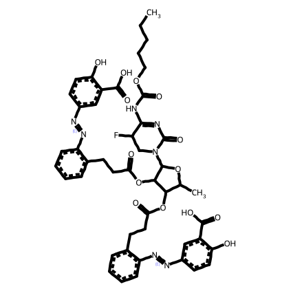 CCCCCOC(=O)NC1=NC(=O)N(C2OC(C)C(OC(=O)CCc3ccccc3/N=N/c3ccc(O)c(C(=O)O)c3)C2OC(=O)CCc2ccccc2/N=N/c2ccc(O)c(C(=O)O)c2)CC1F